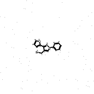 BrCc1cn(-c2ccccc2)nc1-c1ccco1